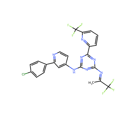 C/C(=N\c1nc(Nc2ccnc(-c3ccc(Cl)cc3)c2)nc(-c2cccc(C(F)(F)F)n2)n1)C(F)(F)F